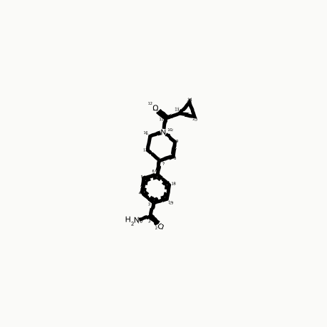 NC(=O)c1ccc(C2CCN(C(=O)C3CC3)CC2)cc1